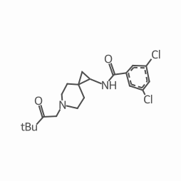 CC(C)(C)C(=O)CN1CCC2(CC1)CC2NC(=O)c1cc(Cl)cc(Cl)c1